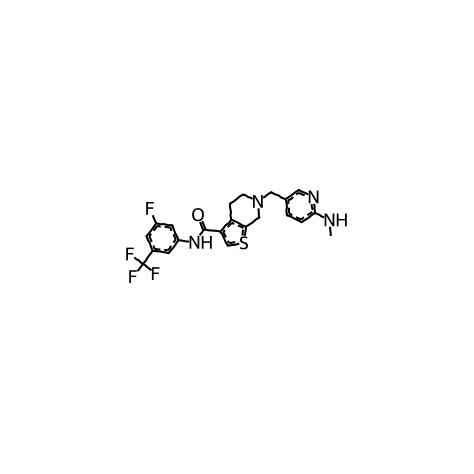 CNc1ccc(CN2CCc3c(C(=O)Nc4cc(F)cc(C(F)(F)F)c4)csc3C2)cn1